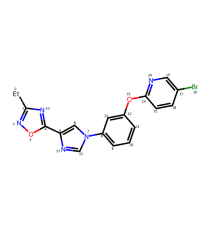 CCc1noc(-c2cn(-c3cccc(Oc4ccc(Br)cn4)c3)cn2)n1